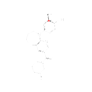 CC(=N)/C=C(\C=C/C(C)C(=O)C(C)C)N1CCCOc2cc(C(=O)N3CCC[C@H](C)C3)cnc21